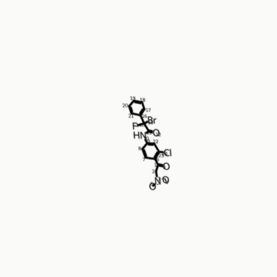 O=C(C[N+](=O)[O-])c1ccc(NC(=O)C(F)(Br)c2ccccc2)cc1Cl